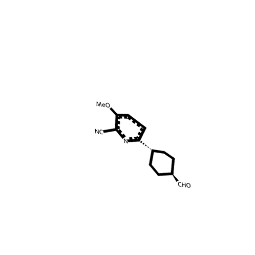 COc1ccc([C@H]2CC[C@H](C=O)CC2)nc1C#N